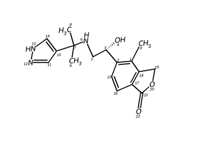 Cc1c([C@@H](O)CNC(C)(C)c2cn[nH]c2)ccc2c1COC2=O